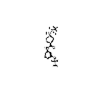 CC(C)(C)S(=O)(=O)NN1CCC(C(=O)Nc2cccc(OC(F)(F)C(F)F)c2)CC1